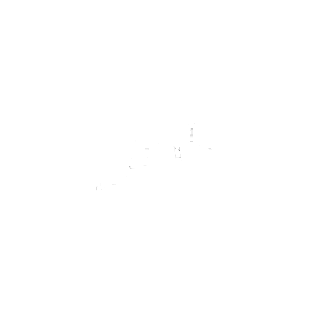 O=C(O)NCC12CC(CO)(CO1)C2